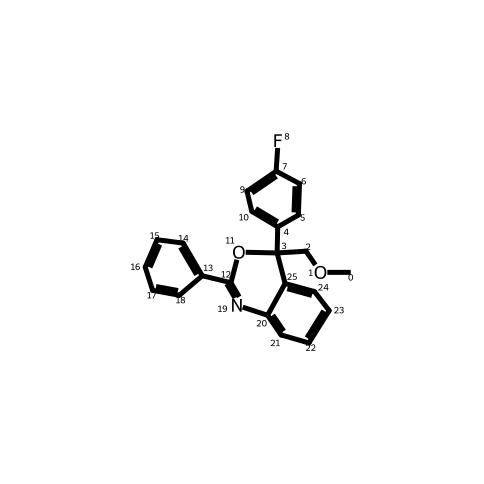 COCC1(c2ccc(F)cc2)OC(c2ccccc2)=Nc2ccccc21